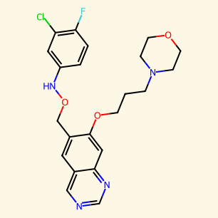 Fc1ccc(NOCc2cc3cncnc3cc2OCCCN2CCOCC2)cc1Cl